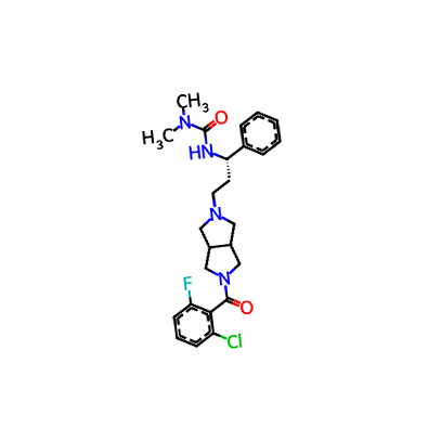 CN(C)C(=O)N[C@@H](CCN1CC2CN(C(=O)c3c(F)cccc3Cl)CC2C1)c1ccccc1